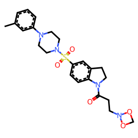 Cc1cccc(N2CCN(S(=O)(=O)c3ccc4c(c3)CCN4C(=O)CCN3OCO3)CC2)c1